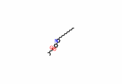 CCCCCCCCCCCCc1ccc(-c2ccc(OC(=O)CCC(C)CC)cc2)nc1